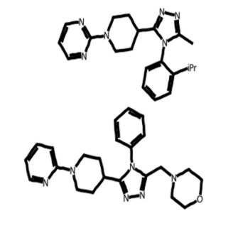 Cc1nnc(C2CCN(c3ncccn3)CC2)n1-c1ccccc1C(C)C.c1ccc(-n2c(CN3CCOCC3)nnc2C2CCN(c3ccccn3)CC2)cc1